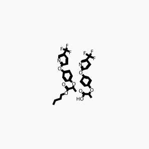 CC(Oc1ccc(Oc2ccc(C(F)(F)F)cn2)cc1)C(=O)O.CCCCOC(=O)C(C)Oc1ccc(Oc2ccc(C(F)(F)F)cn2)cc1